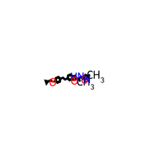 Cc1cc(NC(C)c2cc3ccc(CCc4ccc(OCC5CC5)cc4)cc3o2)on1